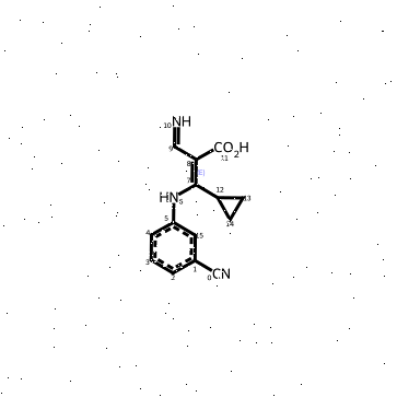 N#Cc1cccc(N/C(=C(\C=N)C(=O)O)C2CC2)c1